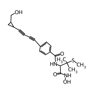 CSC(C)(C)C(NC(=O)c1ccc(C#CC#CC2CC2CO)cc1)C(=O)NO